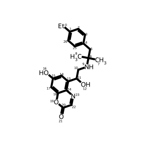 CCc1ccc(CC(C)(C)NCC(O)c2cc(O)cc3oc(=O)cnc23)cc1